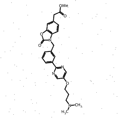 COC(=O)Cc1ccc2c(c1)oc(=O)n2Cc1cccc(-c2ncc(OCCCN(C)C)cn2)c1